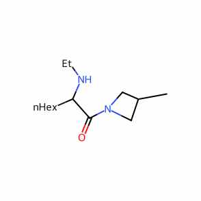 CCCCCCC(NCC)C(=O)N1CC(C)C1